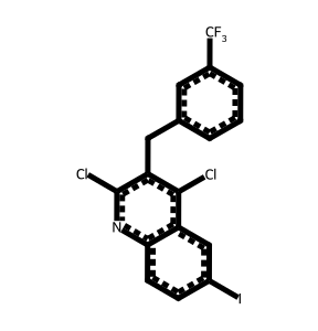 FC(F)(F)c1cccc(Cc2c(Cl)nc3ccc(I)cc3c2Cl)c1